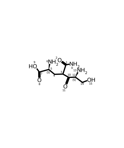 NC(=O)C(C[C@H](N)C(=O)O)C(=O)[C@@H](N)CO